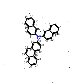 c1ccc2cc(N(c3ccc4ccccc4c3)c3ccc4c(ccc5ccccc54)c3)ccc2c1